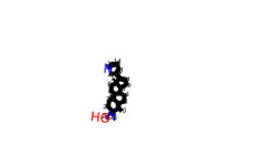 CC1=C2CCC3C(CC[C@]4(C)C(c5cccnc5)=CCC34)[C@@]2(C)CC/C1=N\O